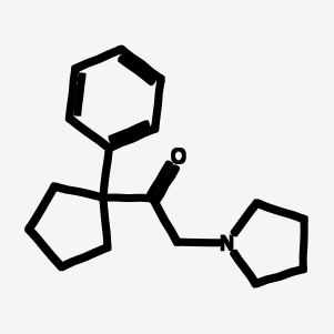 O=C(CN1CCCC1)C1(c2ccccc2)CCCC1